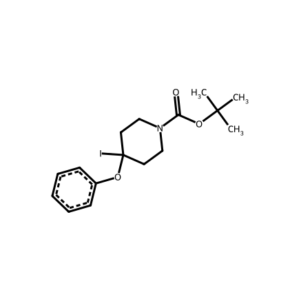 CC(C)(C)OC(=O)N1CCC(I)(Oc2ccccc2)CC1